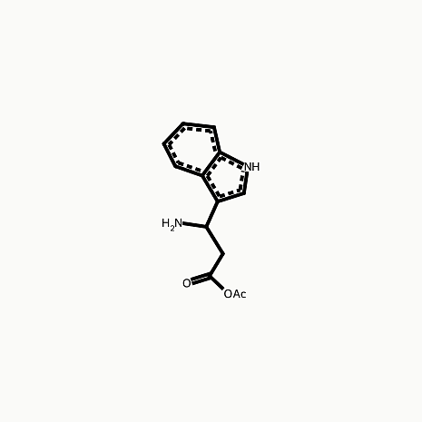 CC(=O)OC(=O)CC(N)c1c[nH]c2ccccc12